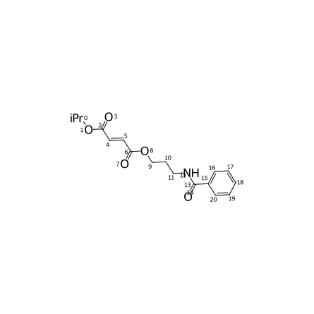 CC(C)OC(=O)/C=C/C(=O)OCCCNC(=O)c1ccccc1